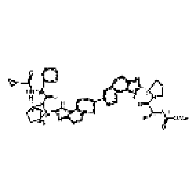 COC(=O)N[C@H](C(=O)N1CCC[C@H]1c1nc2ccc3cc(-c4ccc5c(ccc6nc([C@@H]7[C@H]8CC[C@H](C8)N7C(=O)[C@H](NC(=O)C7CC7)c7ccccc7)[nH]c65)c4)ccc3c2[nH]1)C(C)C